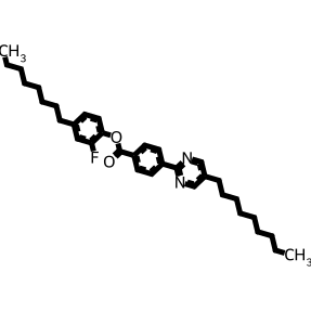 CCCCCCCCCc1cnc(-c2ccc(C(=O)Oc3ccc(CCCCCCCC)cc3F)cc2)nc1